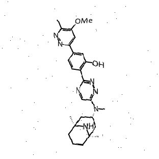 COc1cc(-c2ccc(-c3ncc(N(C)[C@H]4C[C@]5(C)CCC[C@](C)(C4)N5)nn3)c(O)c2)nnc1C